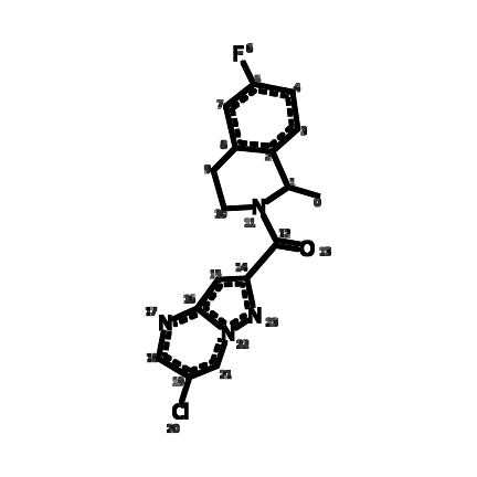 CC1c2ccc(F)cc2CCN1C(=O)c1cc2ncc(Cl)cn2n1